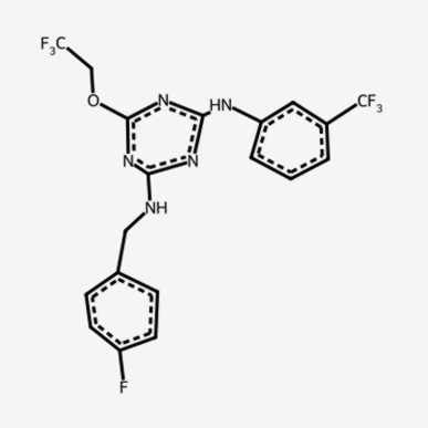 Fc1ccc(CNc2nc(Nc3cccc(C(F)(F)F)c3)nc(OCC(F)(F)F)n2)cc1